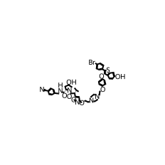 CC(C)[C@@H](C(=O)N1C[C@H](O)C[C@H]1C(=O)NCc1ccc(C#N)cc1)c1cc(OCCN2CCN(CCOc3ccc(Oc4c(-c5ccc(Br)cc5)sc5cc(O)ccc45)cc3)CC2)no1